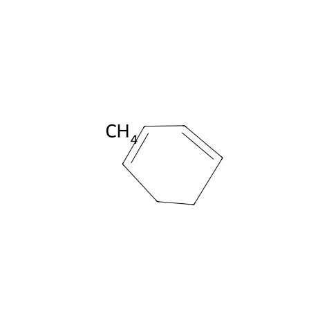 C.C1=CCCC=C1